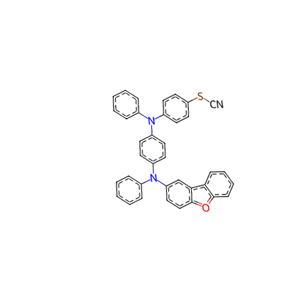 N#CSc1ccc(N(c2ccccc2)c2ccc(N(c3ccccc3)c3ccc4oc5ccccc5c4c3)cc2)cc1